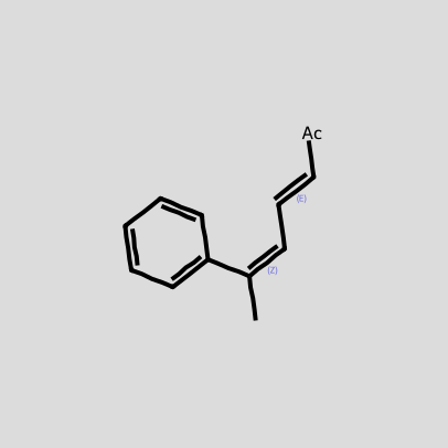 CC(=O)/C=C/C=C(/C)c1ccccc1